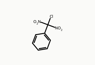 O=[N+]([O-])C(Cl)(c1ccccc1)[N+](=O)[O-]